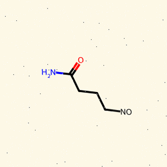 NC(=O)CCCN=O